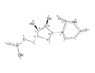 O=c1ccn([C@@H]2O[C@H](CO[P](=O)O)[C@@H](O)[C@H]2O)c(=O)[nH]1